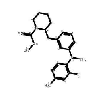 Cc1ccc(N(C)c2cccc(CC3CCCCN3C(=O)OC(C)(C)C)c2)c(Cl)c1